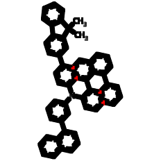 CC1(C)c2ccccc2-c2ccc(-c3ccc(N(c4cccc(-c5cccc6ccccc56)c4)c4ccccc4-c4cccc5cccc(-c6ccccc6)c45)cc3)cc21